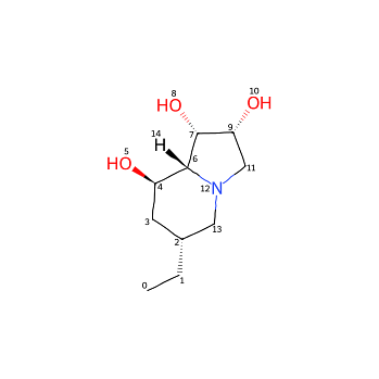 CC[C@@H]1C[C@@H](O)[C@@H]2[C@H](O)[C@H](O)CN2C1